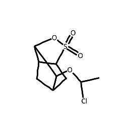 CC(Cl)OC1C2CC3C1OS(=O)(=O)C3C2